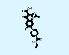 CCNC(=O)N1CCN(c2cc3c(cc2F)c(=O)c(C(=O)O)c2n3C(C)S2)CC1